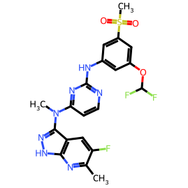 Cc1nc2[nH]nc(N(C)c3ccnc(Nc4cc(OC(F)F)cc(S(C)(=O)=O)c4)n3)c2cc1F